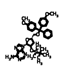 COc1ccc(C(OC[C@@H]2CC(O[Si](C)(C)C(C)(C)C)[C@H](n3cnc4c(N)ncnc43)O2)(c2ccccc2)c2ccc(OC)cc2)cc1